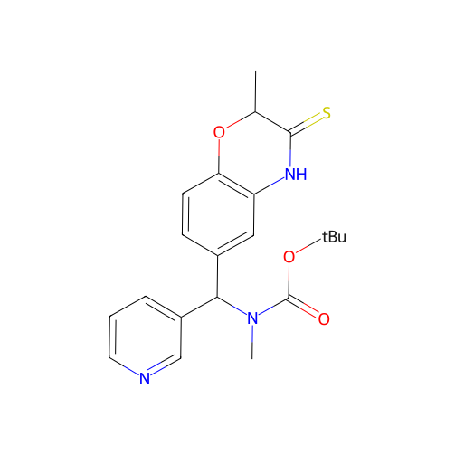 CC1Oc2ccc(C(c3cccnc3)N(C)C(=O)OC(C)(C)C)cc2NC1=S